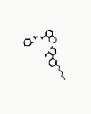 CC(=O)c1nc(N2CCc3cccc(C(=O)Nc4nc5ccccc5s4)c3C2)ccc1-c1cccc(CCCCC=O)c1C